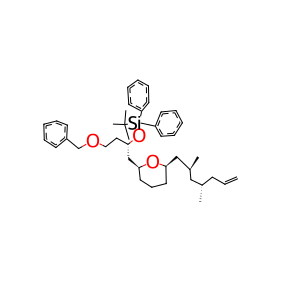 C=CC[C@H](C)C[C@H](C)C[C@H]1CCC[C@@H](C[C@H](CCOCc2ccccc2)O[Si](c2ccccc2)(c2ccccc2)C(C)(C)C)O1